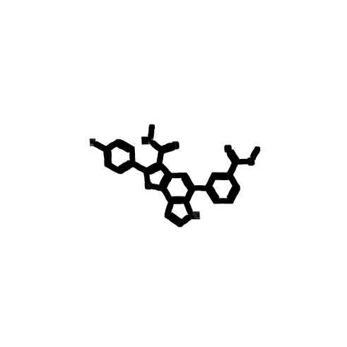 CNC(=O)c1c(-c2ccc(F)cc2)oc2c1cc(-c1cccc(C(=O)OC)c1)c1[nH]ccc12